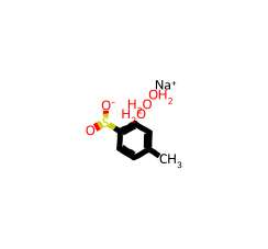 Cc1ccc(S(=O)[O-])cc1.O.O.O.[Na+]